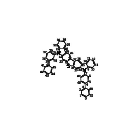 c1ccc(-c2ccc(-n3c4ccccc4c4cc5c(cc43)sc3cc4c(cc35)c3ccccc3n4-c3cccc(-c4ccccc4)c3)cc2)cc1